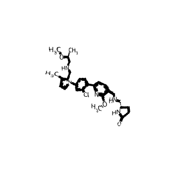 COc1nc(-c2ccc(-n3ccc(C)c3CNC[C@H](C)OC)cc2Cl)ccc1CNC[C@@H]1CCC(=O)N1